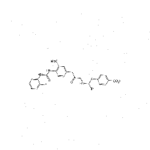 COc1cc(CC(=O)CNC(Oc2ccc(C(=O)O)cc2)C(C)C)ccc1NC(=O)Nc1ccccc1F